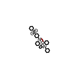 O=S(=O)(c1ccccc1)c1ccc(N2c3ccccc3[Si]3(c4ccccc4N(c4ccccc4)c4ccccc43)c3ccccc32)cc1